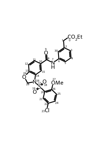 CCOC(=O)Cc1cccc(NC(=O)c2ccc3c(c2)N(S(=O)(=O)c2cc(Cl)ccc2OC)CO3)c1